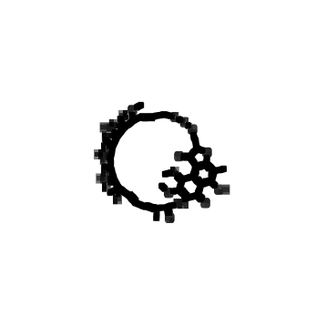 C/N=C1\C(OC)=C2NC(=O)/C(C)=C\C=C\[C@H](C)[C@H](O)[C@@H](C)[C@@H](O)[C@@H](C)[C@H](O)[C@H](C)[C@@H](OC)/C=C/CCCO[C@@]3(C)Oc4c(C)c(O)c(c1c4C3=O)C2=O